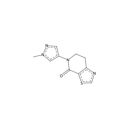 Cn1cc(N2CCc3ncsc3C2=O)cn1